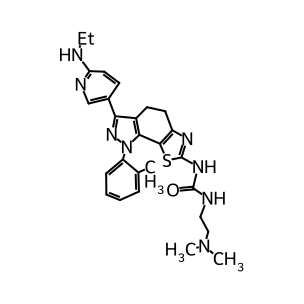 CCNc1ccc(-c2nn(-c3ccccc3C)c3c2CCc2nc(NC(=O)NCCN(C)C)sc2-3)cn1